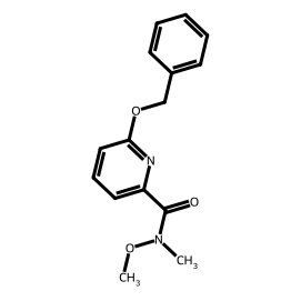 CON(C)C(=O)c1cccc(OCc2ccccc2)n1